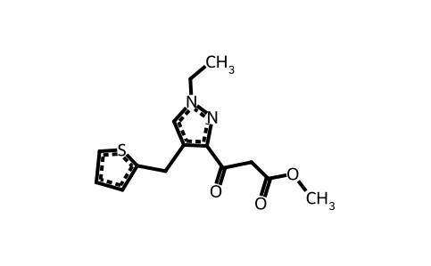 CCn1cc(Cc2cccs2)c(C(=O)CC(=O)OC)n1